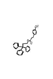 O=C(CCc1ccc(O)cc1)OCCC(c1ccccc1)(c1ccccc1)c1ccccc1